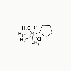 [CH3][Ti]([CH3])([CH3])([CH3])([Cl])([Cl])[CH]1CCCC1